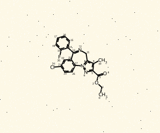 CCOC(=O)c1nn2c(c1C)CN=C(c1ccccc1F)c1cc(Cl)ccc1-2